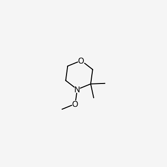 CON1CCOCC1(C)C